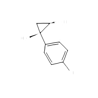 C[C@@]1(c2ccc(C(F)(F)F)cc2)C[C@H]1C(=O)O